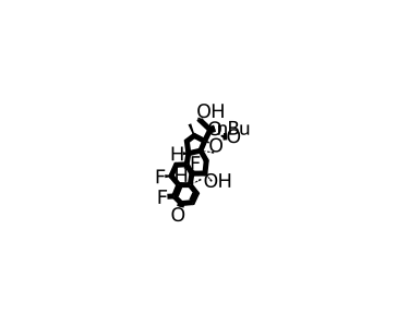 CCCCC(=O)O[C@@]1(C(=O)CO)[C@H](C)C[C@H]2[C@@H]3C[C@H](F)C4=C(F)C(=O)C=C[C@]4(C)[C@@]3(F)[C@@H](O)C[C@@]21C